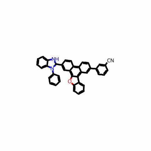 N#Cc1cccc(-c2ccc3c4ccc(C5Nc6ccccc6N5c5ccccc5)cc4c4oc5ccccc5c4c3c2)c1